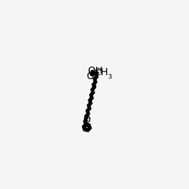 CC(CCCC=CCCCCCCCCCCCOCc1ccccc1)C(=O)O